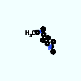 Cc1ccc(-n2c3ccccc3c3cc(-c4ccccc4-c4ccccc4-c4ccc(-n5nc(-c6ccccc6)cc5-c5ccccc5)cc4)ccc32)cc1